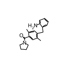 Cc1cc(C(=O)N2CCCC2)c(C)cc1Cc1ccccc1N